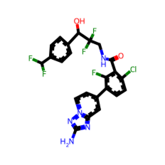 Nc1nc2cc(-c3ccc(Cl)c(C(=O)NCC(F)(F)C(O)c4ccc(C(F)F)cc4)c3F)ccn2n1